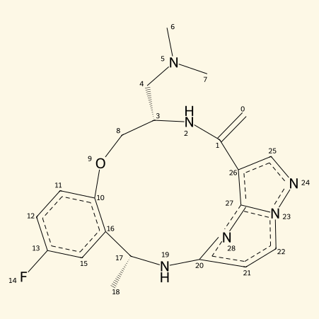 C=C1N[C@@H](CN(C)C)COc2ccc(F)cc2[C@@H](C)Nc2ccn3ncc1c3n2